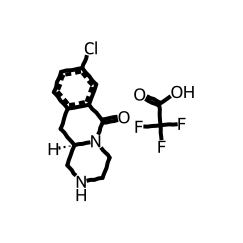 O=C(O)C(F)(F)F.O=C1c2cc(Cl)ccc2C[C@@H]2CNCCN12